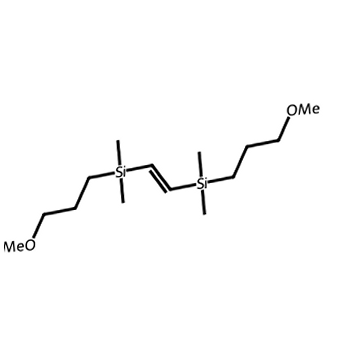 COCCC[Si](C)(C)C=C[Si](C)(C)CCCOC